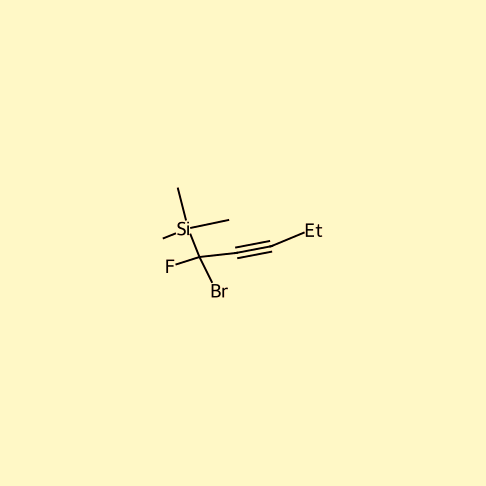 CCC#CC(F)(Br)[Si](C)(C)C